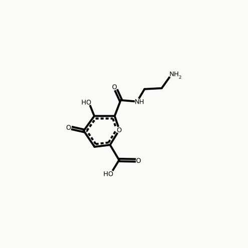 NCCNC(=O)c1oc(C(=O)O)cc(=O)c1O